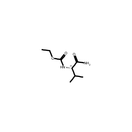 CCOC(=O)N[C@H](C(N)=O)C(C)C